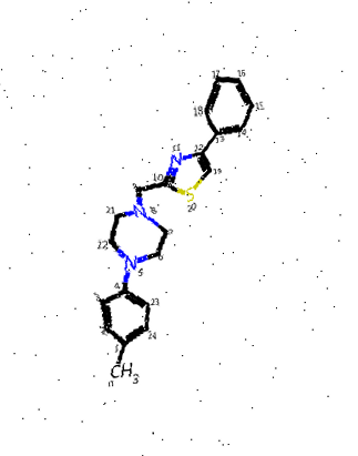 Cc1ccc(N2CCN(Cc3nc(-c4ccccc4)cs3)CC2)cc1